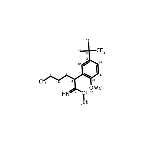 CCOC(=N)C(CCCCl)c1cc(C(C)(C)C(F)(F)F)ccc1OC